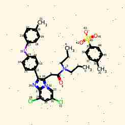 CCCN(CCC)C(=O)Cc1c(-c2ccc([I+]c3ccc(C)cc3)cc2)nc2c(Cl)cc(Cl)cn12.Cc1ccc(S(=O)(=O)[O-])cc1